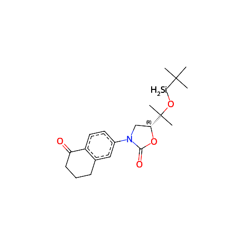 CC(C)(C)[SiH2]OC(C)(C)[C@H]1CN(c2ccc3c(c2)CCCC3=O)C(=O)O1